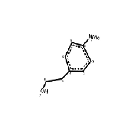 CNc1ccc(CCO)cc1